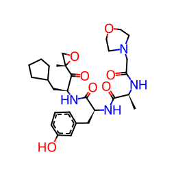 C[C@H](NC(=O)CN1CCOCC1)C(=O)N[C@@H](Cc1cccc(O)c1)C(=O)N[C@@H](CC1CCCC1)C(=O)[C@]1(C)CO1